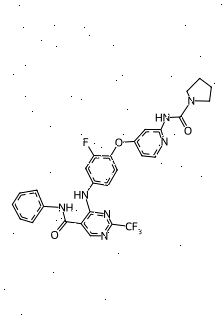 O=C(Nc1ccccc1)c1cnc(C(F)(F)F)nc1Nc1ccc(Oc2ccnc(NC(=O)N3CCCC3)c2)c(F)c1